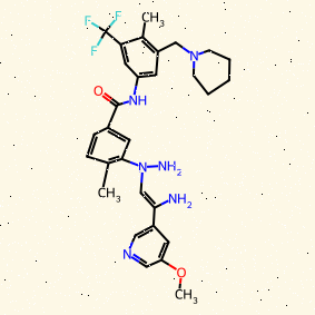 COc1cncc(/C(N)=C/N(N)c2cc(C(=O)Nc3cc(CN4CCCCC4)c(C)c(C(F)(F)F)c3)ccc2C)c1